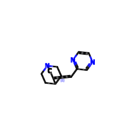 C(=C1/CN2CCC1CC2)/c1cnccn1